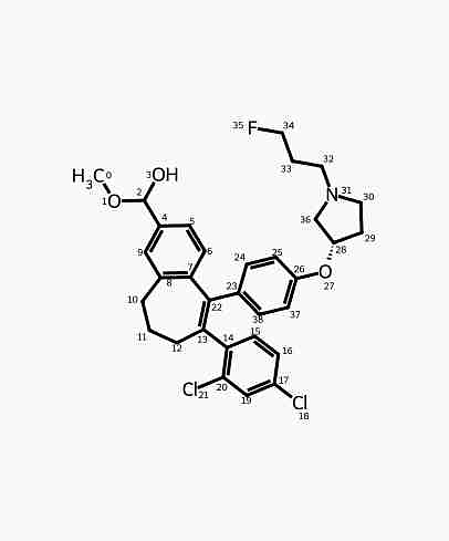 COC(O)c1ccc2c(c1)CCCC(c1ccc(Cl)cc1Cl)=C2c1ccc(O[C@H]2CCN(CCCF)C2)cc1